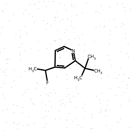 CC(F)c1ccnc(C(C)(C)C)c1